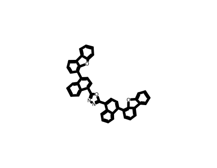 c1ccc2c(c1)oc1c(-c3ccc(-c4nnc(-c5ccc(-c6cccc7c6oc6ccccc67)c6ccccc56)o4)c4ccccc34)cccc12